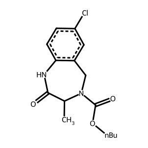 CCCCOC(=O)N1Cc2cc(Cl)ccc2NC(=O)C1C